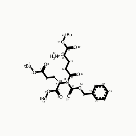 CC(C)(C)OC(=O)CC[C@@H](C(=O)OC(C)(C)C)N(C(=O)CC[C@H](N)C(=O)OC(C)(C)C)C(=O)OCc1ccccc1